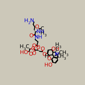 CC(=O)N[C@@H](CCCCN)C(=O)NCCC(=O)O[C@@H](CC(=O)OC1=CC[C@@]2(O)[C@@H](C)N(C)CC[C@@]23c2c(C)ccc(O)c2O[C@@H]13)C(=O)O[C@@H](C)C(=O)O